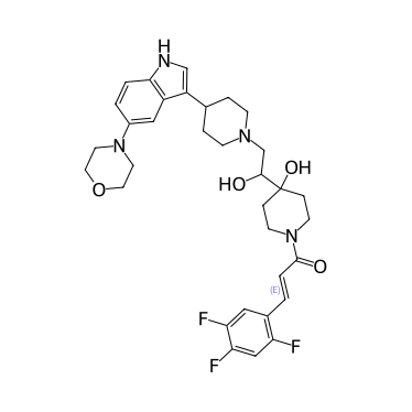 O=C(/C=C/c1cc(F)c(F)cc1F)N1CCC(O)(C(O)CN2CCC(c3c[nH]c4ccc(N5CCOCC5)cc34)CC2)CC1